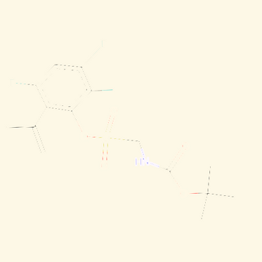 C=C(C)c1c(F)cc(F)c(F)c1OS(=O)(=O)CNC(=O)OC(C)(C)C